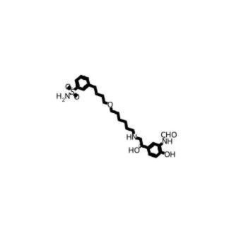 NS(=O)(=O)c1cccc(CCCCOCCCCCCNC[C@@H](O)c2ccc(O)c(NC=O)c2)c1